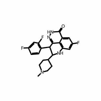 CN1CCC(C2Nc3cc(F)cc4c(=O)[nH]nc(c34)C2c2ccc(F)cc2F)CC1